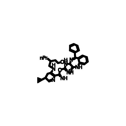 CCCC(CCO)CNC1=C(C(=N)OC(=N)NC2N=C(c3ccccc3)c3ccccc3NC2=O)N=CC(C2CC2)C1